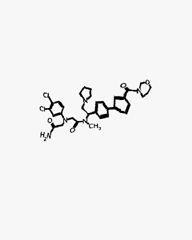 CN(C(=O)CN(CC(N)=O)c1ccc(Cl)c(Cl)c1)[C@@H](CN1CCCC1)c1ccc(-c2cccc(C(=O)N3CCCOC3)c2)cc1